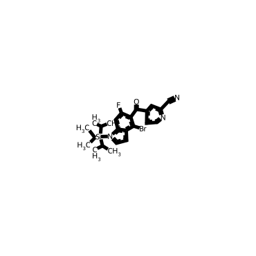 CC(C)[Si](C(C)C)(C(C)C)n1ccc2c(Br)c(C(=O)c3ccnc(C#N)c3)c(F)cc21